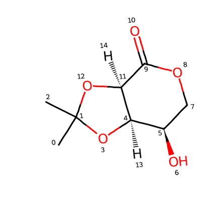 CC1(C)O[C@@H]2[C@H](O)COC(=O)[C@@H]2O1